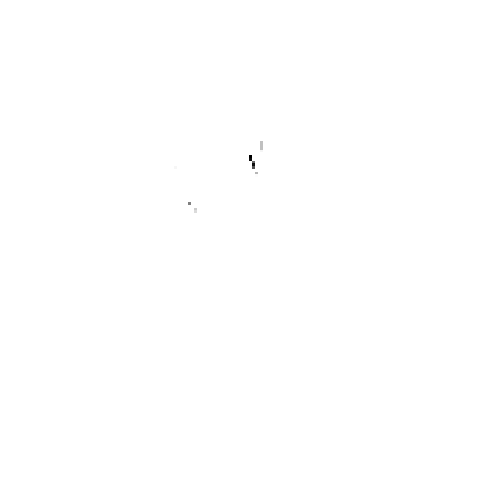 N[C@@H](Cc1ccccc1)CN(C(=O)CF)c1ccccc1Oc1ccccc1